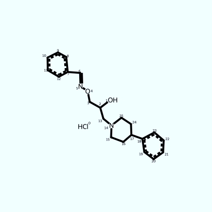 Cl.OC(CON=Cc1ccccc1)CN1CCC(c2ccccc2)CC1